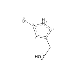 O=C(O)Cc1c[nH]c(Br)c1